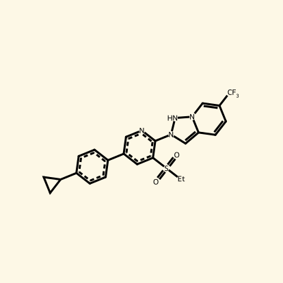 CCS(=O)(=O)c1cc(-c2ccc(C3CC3)cc2)cnc1N1C=C2C=CC(C(F)(F)F)=CN2N1